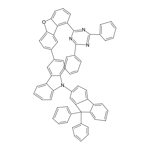 c1ccc(-c2nc(-c3ccccc3)nc(-c3cccc4oc5ccc(-c6ccc7c(c6)c6ccccc6n7-c6ccc7c(c6)C(c6ccccc6)(c6ccccc6)c6ccccc6-7)cc5c34)n2)cc1